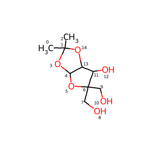 CC1(C)OC2OC(CO)(CO)C(O)C2O1